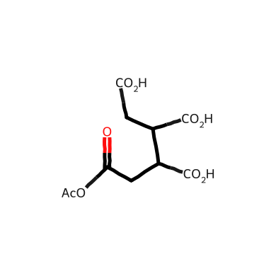 CC(=O)OC(=O)CC(C(=O)O)C(CC(=O)O)C(=O)O